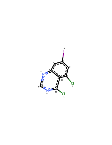 Clc1cc(I)cc2ncnc(Cl)c12